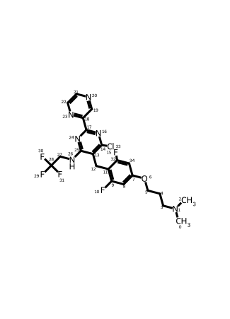 CN(C)CCCOc1cc(F)c(Cc2c(Cl)nc(-c3cnccn3)nc2NCC(F)(F)F)c(F)c1